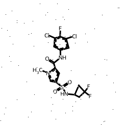 Cn1cc(S(=O)(=O)NC2CC(F)(F)C2)cc1C(=O)Nc1cc(Cl)c(F)c(Cl)c1